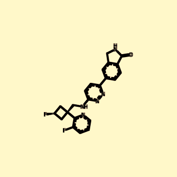 O=C1NCc2cc(-c3ccc(NC[C@]4(c5ncccc5F)C[C@H](F)C4)nn3)ccc21